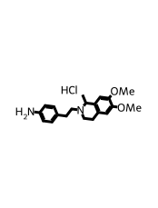 COc1cc2c(cc1OC)C(C)N(CCc1ccc(N)cc1)CC2.Cl